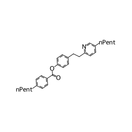 CCCCCc1ccc(C(=O)Oc2ccc(CCc3ccc(CCCCC)cn3)cc2)cc1